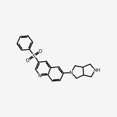 O=S(=O)(c1ccccc1)c1cnc2ccc(N3CC4CNCC4C3)cc2c1